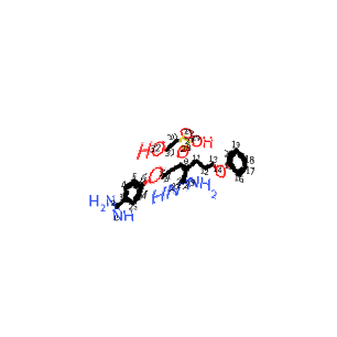 N=C(N)c1ccc(OCCC(CCCOc2ccccc2)C(=N)N)cc1.O=S(=O)(O)CCO